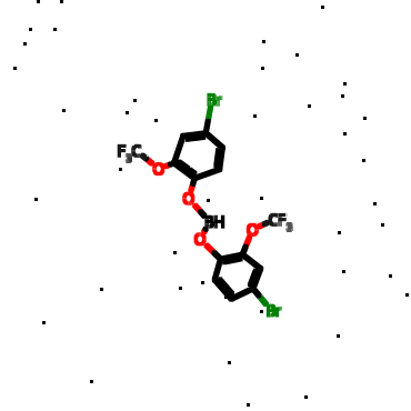 FC(F)(F)Oc1cc(Br)ccc1OBOc1ccc(Br)cc1OC(F)(F)F